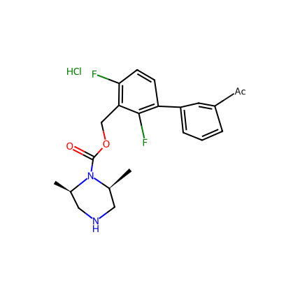 CC(=O)c1cccc(-c2ccc(F)c(COC(=O)N3[C@H](C)CNC[C@@H]3C)c2F)c1.Cl